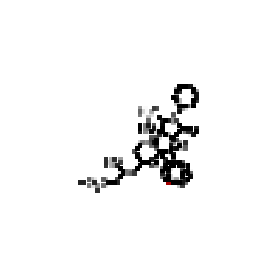 CC1N(c2ccccc2)C(=O)C23OC2(c2ccccc2)C2(c4ccccc4)OC(CC(O)CC(=O)O)CCN2C13O